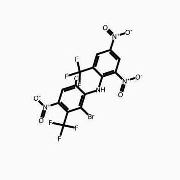 O=[N+]([O-])c1cc([N+](=O)[O-])c(Nc2c(Cl)cc([N+](=O)[O-])c(C(F)(F)F)c2Br)c(C(F)(F)F)c1